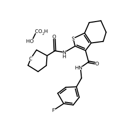 O=C(NCc1ccc(F)cc1)c1c(NC(=O)C2CCCCC2)sc2c1CCCC2.O=C(O)O